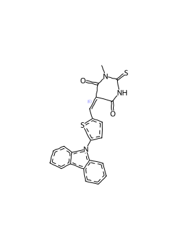 CN1C(=O)/C(=C/c2ccc(-n3c4ccccc4c4ccccc43)s2)C(=O)NC1=S